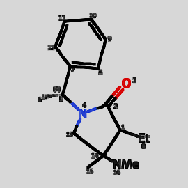 CCC1C(=O)N([C@H](C)c2ccccc2)CC1(C)NC